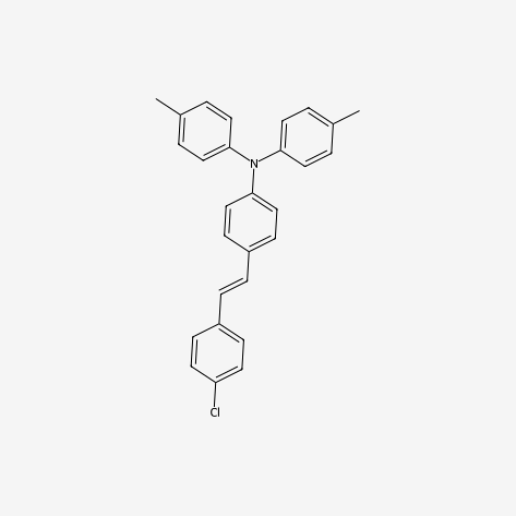 Cc1ccc(N(c2ccc(C)cc2)c2ccc(C=Cc3ccc(Cl)cc3)cc2)cc1